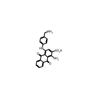 NCc1ccc(Nc2cc(S(=O)(=O)O)c(N)c3c2C(=O)c2ccccc2C3=O)cc1